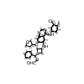 O=COC(c1ccccc1)N1CC(Nc2cc3c(Nc4ccc(F)c(Cl)c4)ncnc3cc2OC2CCOC2)C1